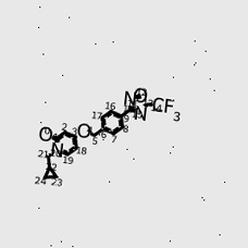 O=c1cc(OCc2ccc(-c3noc(C(F)(F)F)n3)cc2)ccn1CC1CC1